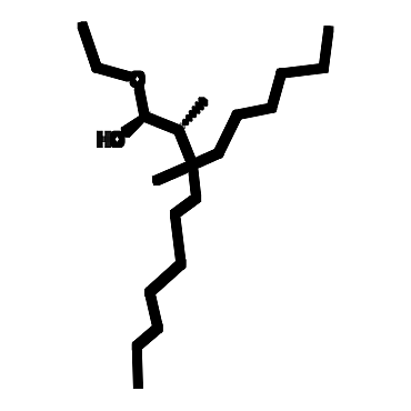 CCCCCCCC(C)(CCCCCC)[C@@H](C)[C@@H](O)OCC